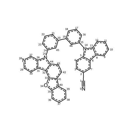 N#Cc1ccc2c(c1)c1ccccc1n2-c1cccc(-c2cccc(-n3c4cnccc4c4c5oc6ccccc6c5ccc43)c2)c1